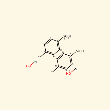 CO.CO.Cc1ccc(S(=O)(=O)O)cc1.Cc1ccc(S(=O)(=O)O)cc1